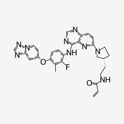 C=CC(=O)NCC[C@H]1CCN(c2ccc3ncnc(Nc4ccc(Oc5ccn6ncnc6c5)c(C)c4F)c3n2)C1